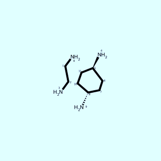 NCCN.N[C@H]1CC[C@H](N)CC1